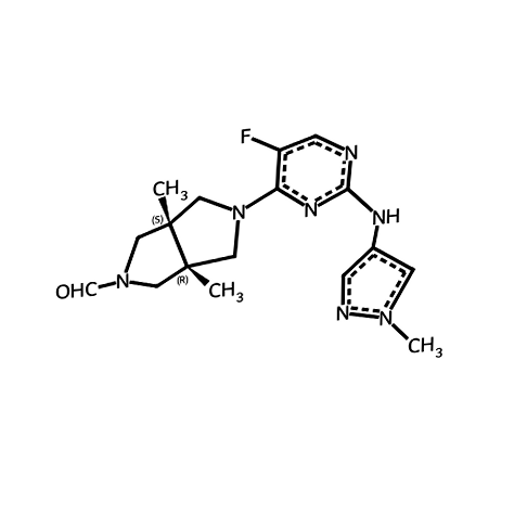 Cn1cc(Nc2ncc(F)c(N3C[C@]4(C)CN(C=O)C[C@]4(C)C3)n2)cn1